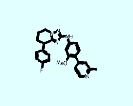 COc1cc(Nc2nc3n(n2)CCCC3c2ccc(F)cc2)ccc1-c1ccnc(C)c1